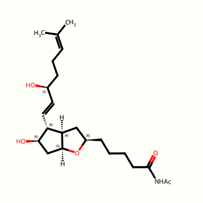 CC(=O)NC(=O)CCCC[C@@H]1C[C@@H]2[C@@H](C=C[C@@H](O)CCC=C(C)C)[C@H](O)C[C@@H]2O1